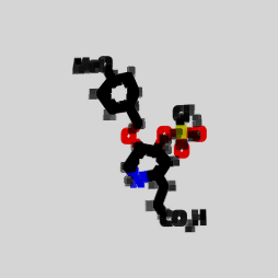 COc1ccc(COc2cnc(CCC(=O)O)cc2OS(=O)(=O)C(F)(F)F)cc1